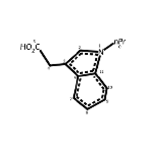 CCCn1cc(CC(=O)O)c2ccccc21